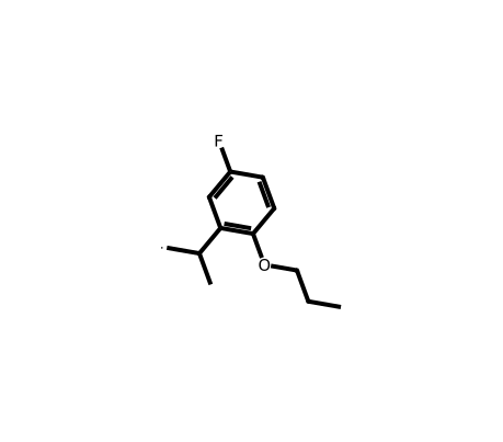 [CH2]C(C)c1cc(F)ccc1OCCC